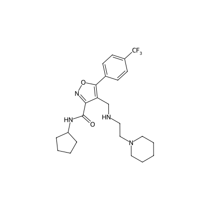 O=C(NC1CCCC1)c1noc(-c2ccc(C(F)(F)F)cc2)c1CNCCN1CCCCC1